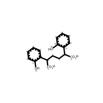 O=C(O)C(CCC(C(=O)O)c1ccccc1O)c1ccccc1O